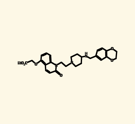 CCOC(=O)COc1cccc2c1ccc(=O)n2CCN1CCC(NCc2ccc3c(c2)OCCO3)CC1